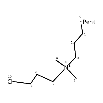 CCCCCCCC[N+](C)(C)CCCCl